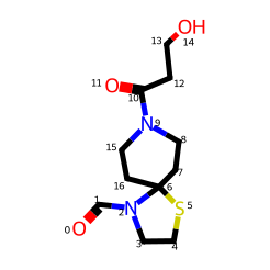 O=CN1CCSC12CCN(C(=O)CCO)CC2